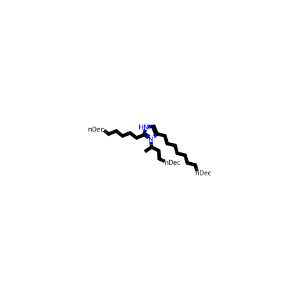 CCCCCCCCCCCCCCCCCc1c[nH]c(CCCCCCCCCCCCCCC)[n+]1C(C)CCCCCCCCCCCC